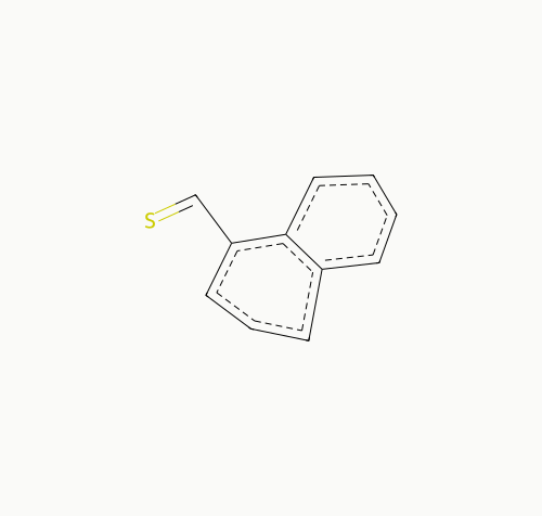 S=Cc1cccc2ccccc12